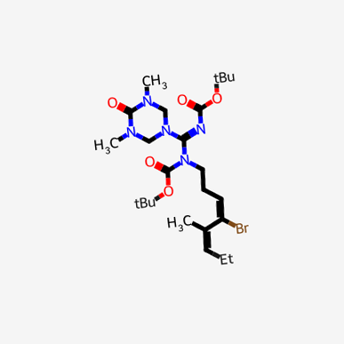 CC/C=C(C)\C(Br)=C/CCN(C(=O)OC(C)(C)C)/C(=N/C(=O)OC(C)(C)C)N1CN(C)C(=O)N(C)C1